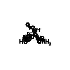 NC(=O)c1cccc2cn(-c3ccc(CNC4CCCN(Cc5ccccc5)C4)cc3)nc12.O=C(O)C(F)(F)F.O=C(O)C(F)(F)F